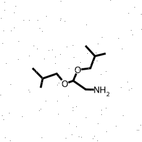 CC(C)COC(CN)OCC(C)C